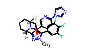 Cn1nc2c(c1-c1cc(F)c(F)c(F)c1)C[C@H]1CCC[C@@H]2N1C(=O)c1ccc(-n2ccnc2)nc1